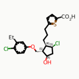 CCc1cc(OC[C@@H]2[C@@H](CCCc3ccc(C(=O)O)s3)[C@@H](Cl)C[C@H]2O)ccc1Cl